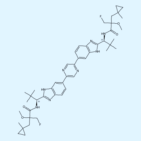 COC(CF)(CC1(C)CC1)C(=O)N[C@H](c1nc2ccc(-c3cnc(-c4ccc5nc([C@@H](NC(=O)C(CF)(CC6(C)CC6)OC)C(C)(C)C)[nH]c5c4)cn3)cc2[nH]1)C(C)(C)C